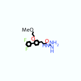 COCCCOc1cc(CCC(=O)NC(=N)N)ccc1-c1cc(F)cc(F)c1